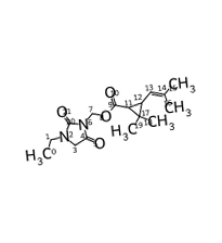 CCN1CC(=O)N(COC(=O)C2C(C=C(C)C)C2(C)C)C1=O